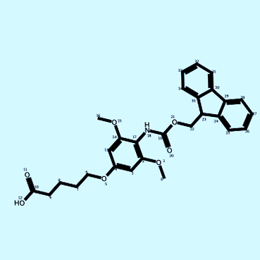 COc1cc(OCCCCC(=O)O)cc(OC)c1NC(=O)OCC1c2ccccc2-c2ccccc21